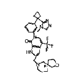 Cn1cnnc1C1(c2cccc(-n3cc(C(F)(F)F)c4cc(CN5CCC[C@@]6(CCOC6)C5)[nH]c4c3=O)c2)CCC1